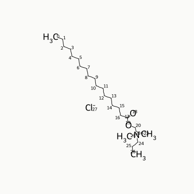 CCCCCCCCCCCCCCCCCC(=O)OC[N+](C)(C)CCC.[Cl-]